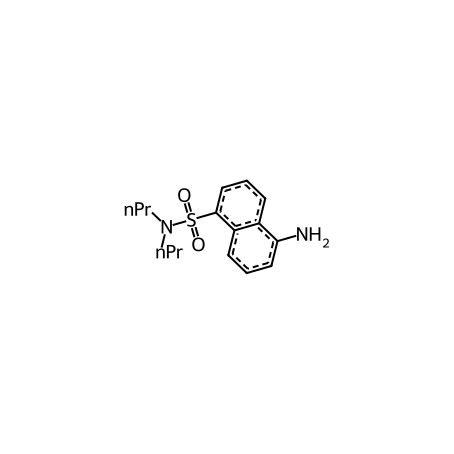 CCCN(CCC)S(=O)(=O)c1cccc2c(N)cccc12